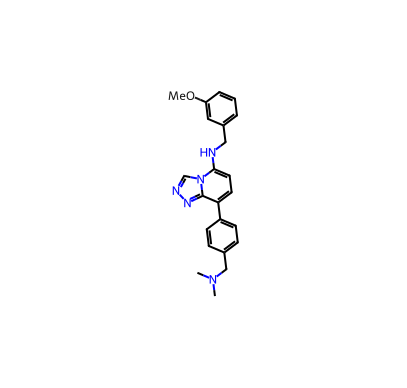 COc1cccc(CNc2ccc(-c3ccc(CN(C)C)cc3)c3nncn23)c1